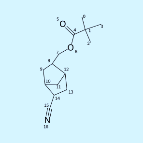 CC(C)(C)C(=O)OCC1CC2CC1CC2C#N